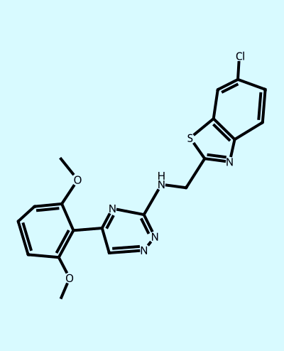 COc1cccc(OC)c1-c1cnnc(NCc2nc3ccc(Cl)cc3s2)n1